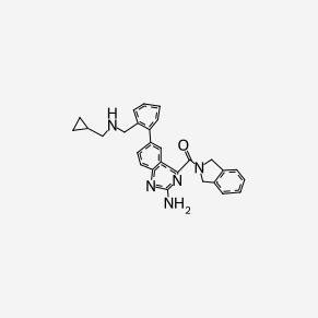 Nc1nc(C(=O)N2Cc3ccccc3C2)c2cc(-c3ccccc3CNCC3CC3)ccc2n1